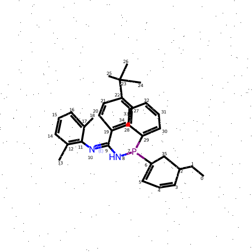 CCC1C=CC=C(P(N/C(=N/c2c(C)cccc2C)c2ccc(C(C)(C)C)cc2)c2ccccc2)C1